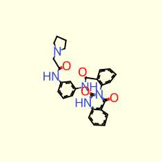 O=C(CN1CCCC1)Nc1cccc(NC(=O)c2ccccc2-n2c(=O)[nH]c3ccccc3c2=O)c1